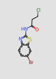 O=C(CCCl)Nc1nc2ccc(Br)cc2s1